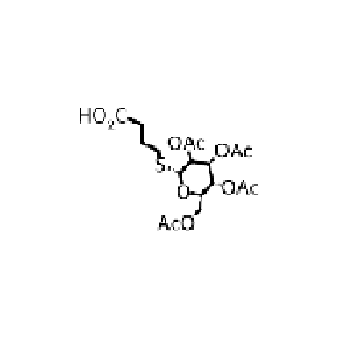 CC(=O)OC[C@H]1O[C@H](SCCCC(=O)O)[C@@H](OC(C)=O)[C@@H](OC(C)=O)[C@@H]1OC(C)=O